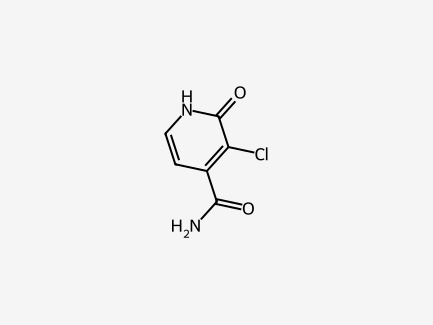 NC(=O)c1cc[nH]c(=O)c1Cl